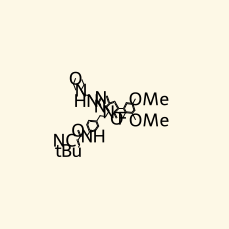 COc1cc(OC)c(F)c(-c2cc3cnc(NCCN4CCOCC4)nc3n(CCc3ccc(NC(=O)C(C#N)=CC(C)(C)C)cc3)c2=O)c1